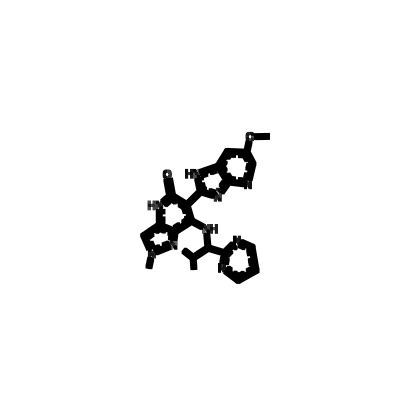 COc1cnc2nc(-c3c(NC(c4ncccn4)C(C)C)c4nn(C)cc4[nH]c3=O)[nH]c2c1